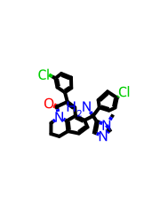 Cn1cncc1C(N)(c1ccc(Cl)cc1)c1ccc2c3c1cc(-c1cccc(Cl)c1)c(=O)n3CCC2